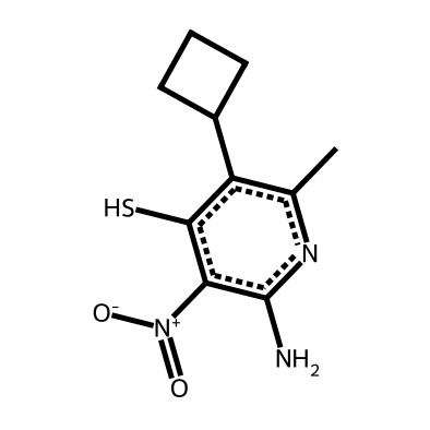 Cc1nc(N)c([N+](=O)[O-])c(S)c1C1CCC1